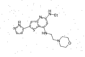 CCNc1cc(NCCN2CCOCC2)c2sc(-c3ccn[nH]3)cc2n1